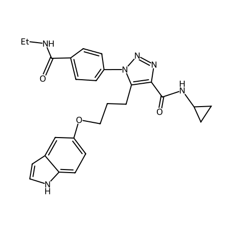 CCNC(=O)c1ccc(-n2nnc(C(=O)NC3CC3)c2CCCOc2ccc3[nH]ccc3c2)cc1